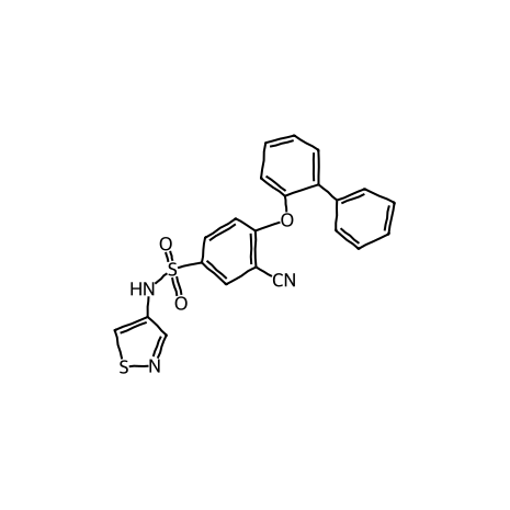 N#Cc1cc(S(=O)(=O)Nc2cnsc2)ccc1Oc1ccccc1-c1ccccc1